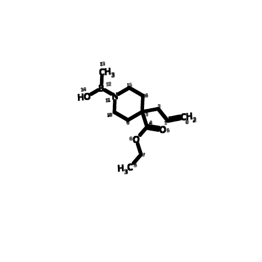 C=CCC1(C(=O)OCC)CCN(B(C)O)CC1